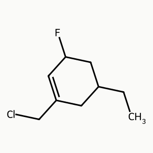 CCC1CC(CCl)=CC(F)C1